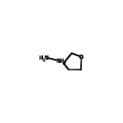 C1CCOC1.NN